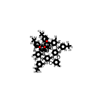 Cc1cc2c3c(c1)Oc1cc4c(cc1B3c1cc3c(cc1O2)N(c1c(F)cc(C(C)(C)C)cc1F)c1cc(C)cc2c1B3c1oc3ccc(C#N)cc3c1N2c1ccc(C(C)(C)C)cc1F)B1c2oc3ccc(C#N)cc3c2N(c2ccc(C(C)(C)C)cc2F)c2cc(C)cc(c21)N4c1c(F)cc(C(C)(C)C)cc1F